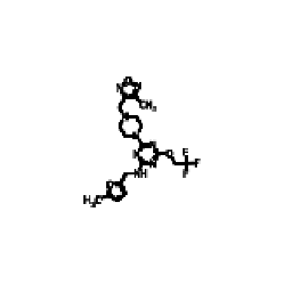 Cc1ccc(CNc2nc(OCC(F)(F)F)nc(N3CCN(Cc4nonc4C)CC3)n2)o1